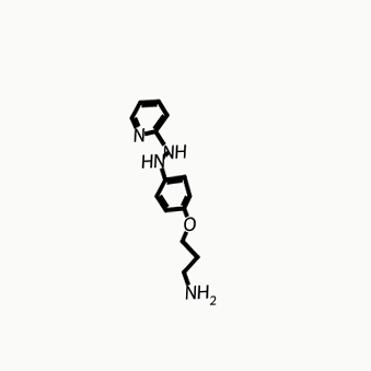 NCCCOc1ccc(NNc2ccccn2)cc1